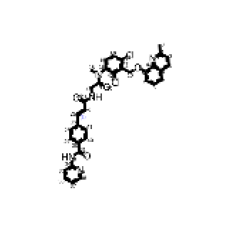 Cc1ccc2cccc(OCc3c(Cl)ccc(N(C)C(=O)CNC(=O)/C=C/c4ccc(C(=O)Nc5ccccn5)cc4)c3Cl)c2n1